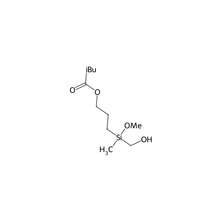 CCC(C)C(=O)OCCC[Si](C)(CO)OC